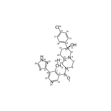 Cc1c(C(=O)N2CCN3C[C@@](O)(c4ccc(Cl)cc4)CC[C@@H]3C2)cncc1-c1cc[nH]n1